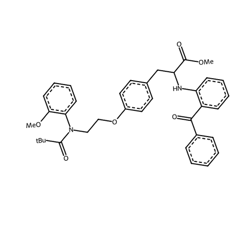 COC(=O)C(Cc1ccc(OCCN(C(=O)C(C)(C)C)c2ccccc2OC)cc1)Nc1ccccc1C(=O)c1ccccc1